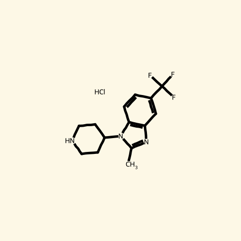 Cc1nc2cc(C(F)(F)F)ccc2n1C1CCNCC1.Cl